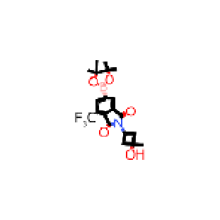 CC1(O)CC(N2C(=O)c3cc(B4OC(C)(C)C(C)(C)O4)cc(C(F)(F)F)c3C2=O)C1